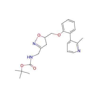 Cc1ncccc1-c1ccccc1OCC1CC(CNC(=O)OC(C)(C)C)=NO1